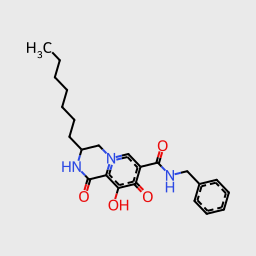 CCCCCCCC1Cn2cc(C(=O)NCc3ccccc3)c(=O)c(O)c2C(=O)N1